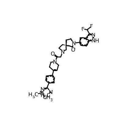 C=N/C(=N\N(C)C)c1ccc(C2=CCN(C(=O)CN3CC[C@]4(CCN(c5ccc6[nH]nc(C(F)F)c6c5)C4=O)C3)CC2)cc1